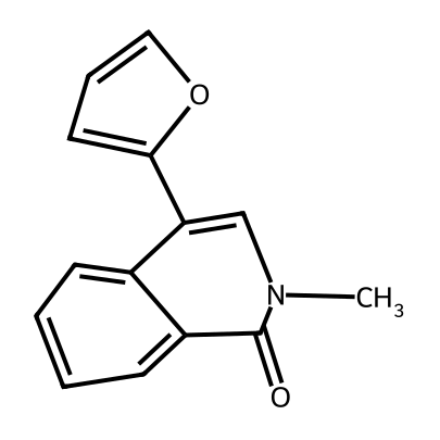 Cn1cc(-c2ccco2)c2ccccc2c1=O